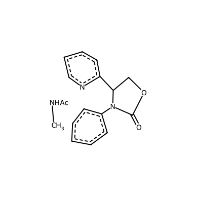 CNC(C)=O.O=C1OCC(c2ccccn2)N1c1ccccc1